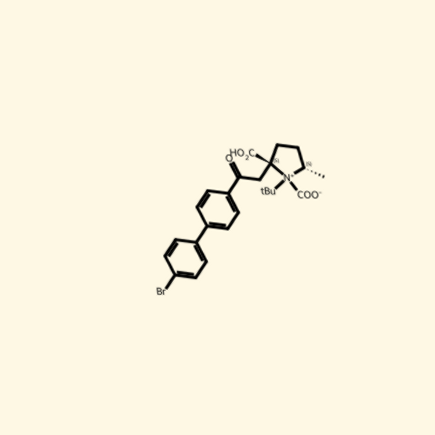 C[C@H]1CC[C@](CC(=O)c2ccc(-c3ccc(Br)cc3)cc2)(C(=O)O)[N+]1(C(=O)[O-])C(C)(C)C